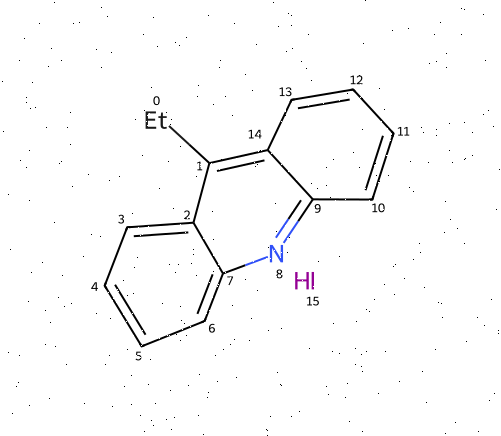 CCc1c2ccccc2nc2ccccc12.I